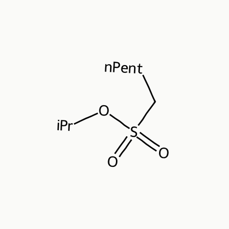 CCCCCCS(=O)(=O)OC(C)C